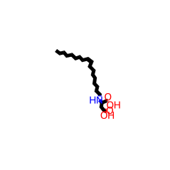 CCCCCCCC/C=C\CCCCCCCCNC(CC(=O)O)C(=O)O